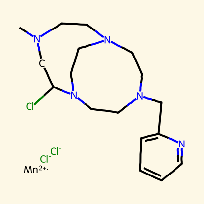 CN1CCN2CCN(Cc3ccccn3)CCN(CC2)C(Cl)C1.[Cl-].[Cl-].[Mn+2]